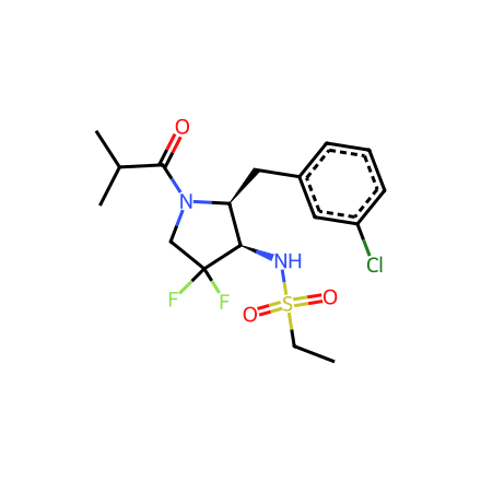 CCS(=O)(=O)N[C@@H]1[C@H](Cc2cccc(Cl)c2)N(C(=O)C(C)C)CC1(F)F